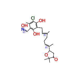 C/C(=C\Cc1c(O)c(Cl)c(C)c(/C=N\O)c1O)CC/C=C(\C)C1CC(=O)C(C)(C)O1